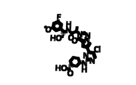 COc1cc(F)cc([C@@H](CO)NC(=O)C(C)n2cnn3cc(-c4nc(N[C@H]5CCC[C@@H](C(=O)O)C5)ncc4Cl)cc3c2=O)c1